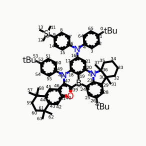 CC(C)(C)c1ccc(N(c2ccc([Si](C)(C)C)cc2)c2cc3c4c(c2)N2c5c(cc(C(C)(C)C)cc5C5(C)CCCCC25C)B4c2oc4cc5c(cc4c2N3c2ccc(C(C)(C)C)cc2)C(C)(C)CCC5(C)C)cc1